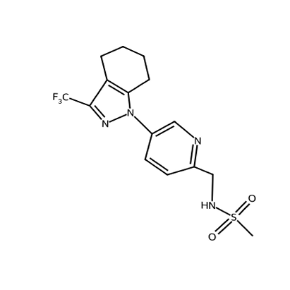 CS(=O)(=O)NCc1ccc(-n2nc(C(F)(F)F)c3c2CCCC3)cn1